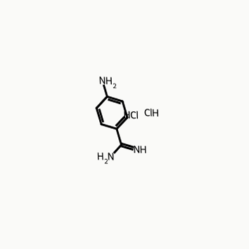 Cl.Cl.N=C(N)c1ccc(N)cc1